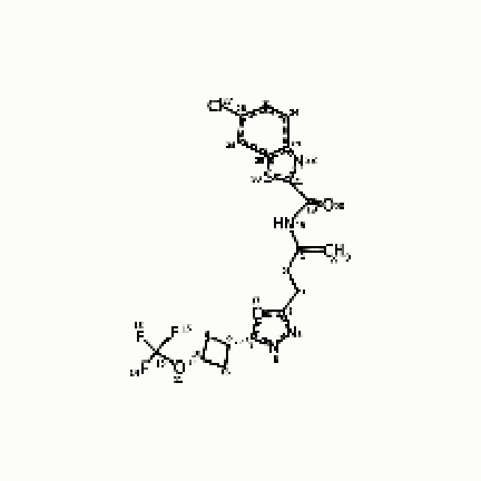 C=C(CCc1nnc([C@H]2C[C@@H](OC(F)(F)F)C2)o1)NC(=O)c1nc2ccc(Cl)cc2s1